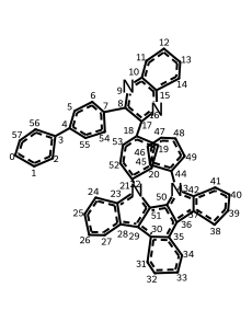 c1ccc(-c2ccc(-c3nc4ccccc4nc3-c3ccc(-n4c5ccccc5c5c6ccccc6c6c7ccccc7n(-c7ccccc7)c6c54)cc3)cc2)cc1